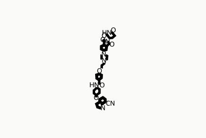 N#Cc1ccc(OC2CCC(NC(=O)c3ccc(OCCCN4CCN(c5ccc6c(c5)C(=O)N(C5CCC(=O)NC5=O)C6=O)CC4)cc3)CC2)c2cccnc12